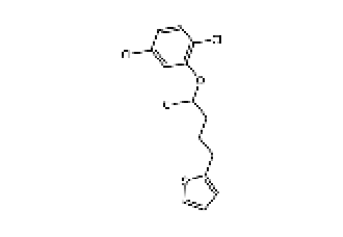 Clc1ccc(Cl)c(OC(Cl)CCCc2cccs2)c1